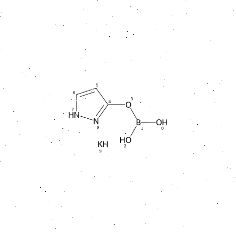 OB(O)Oc1cc[nH]n1.[KH]